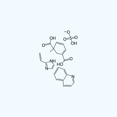 C=Cc1ncc[nH]1.CC1(C(=O)O)C=CC=C(C(=O)O)C1.COS(=O)(=O)O.c1ccc2ncccc2c1